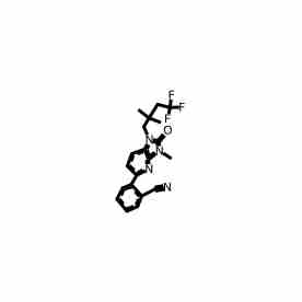 Cn1c(=O)n(CC(C)(C)CC(F)(F)F)c2ccc(-c3ccccc3C#N)nc21